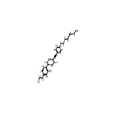 CCCCCCCc1ccc(C#CC2CCC(c3ccc(CCC)cc3)CC2)cc1